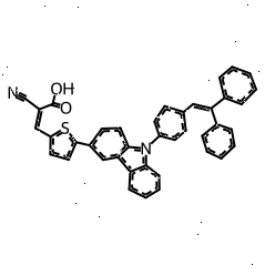 N#CC(=Cc1ccc(-c2ccc3c(c2)c2ccccc2n3-c2ccc(C=C(c3ccccc3)c3ccccc3)cc2)s1)C(=O)O